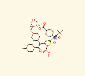 COC(=O)c1sc(C#CC(C)(C)C)cc1N(C(=O)C1CCC(C)CC1)C1CCC(O[C@H]2COC[C@@H]2OC(=O)c2ccc([N+](=O)[O-])cc2)CC1